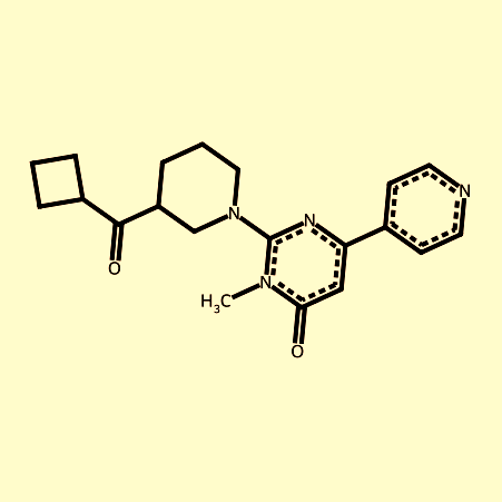 Cn1c(N2CCCC(C(=O)C3CCC3)C2)nc(-c2ccncc2)cc1=O